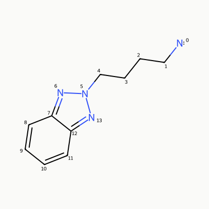 [N]CCCCn1nc2ccccc2n1